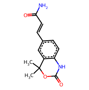 CC1(C)OC(=O)Nc2ccc(/C=C/C(N)=O)cc21